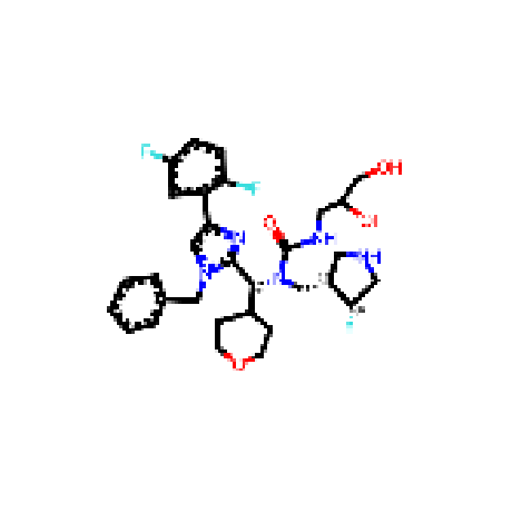 O=C(NCC(O)CO)N(C[C@@H]1CNC[C@@H]1F)[C@@H](c1nc(-c2cc(F)ccc2F)cn1Cc1ccccc1)C1CCOCC1